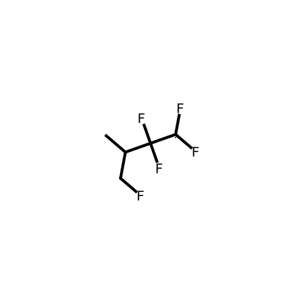 CC(CF)C(F)(F)[C](F)F